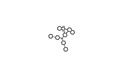 c1ccc(-c2ccc(N(c3ccc(-c4ccccc4)cc3)c3ccc4c5c6ccccc6ccc5c5nc6ccccc6n5c4c3)cc2)cc1